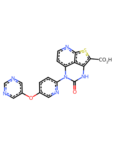 O=C(O)c1sc2nccc3c2c1NC(=O)N3c1ccc(Oc2cncnc2)cn1